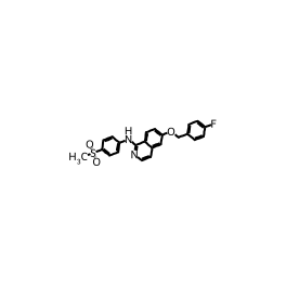 CS(=O)(=O)c1ccc(Nc2nccc3cc(OCc4ccc(F)cc4)ccc23)cc1